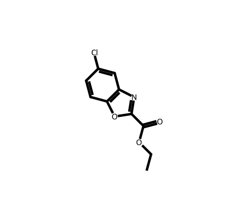 CCOC(=O)c1nc2cc(Cl)ccc2o1